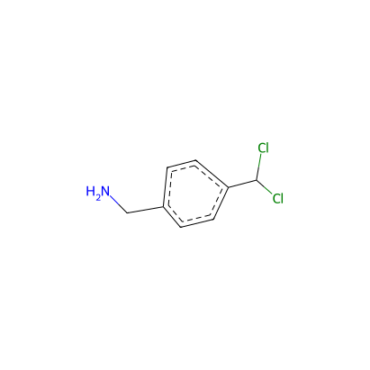 NCc1ccc(C(Cl)Cl)cc1